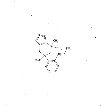 C/C=C/c1cccnc1C1(OC)Cc2cnoc2C(C)(C)C1